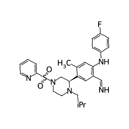 Cc1cc(Nc2ccc(F)cc2)c(C=N)cc1[C@@H]1CN(S(=O)(=O)c2ccccn2)CCN1CC(C)C